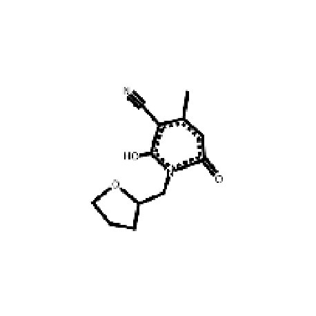 Cc1cc(=O)n(CC2CCCO2)c(O)c1C#N